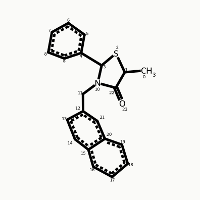 CC1SC(c2ccccc2)N(Cc2ccc3ccccc3c2)C1=O